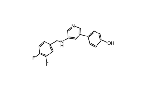 Oc1ccc(-c2cncc(NCc3ccc(F)c(F)c3)c2)cc1